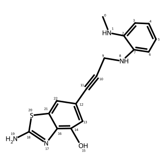 CNc1ccccc1NCC#Cc1cc(O)c2nc(N)sc2c1